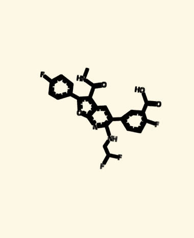 CNC(=O)c1c(-c2ccc(F)cc2)oc2nc(NCC(F)F)c(-c3ccc(F)c(C(=O)O)c3)cc12